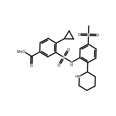 COC(=O)c1ccc(C2CC2)c(S(=O)(=O)Nc2cc(S(C)(=O)=O)ccc2C2CCCCN2)c1